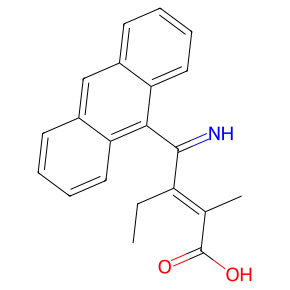 CCC(C(=N)c1c2ccccc2cc2ccccc12)=C(C)C(=O)O